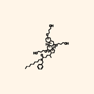 CCCCCCCCN(Cc1ccccc1)C(=O)CCC(C)C1CC[C@H]2C3[C@H](OCCCO)CC4C[C@H](OCCCO)CCC4(C)[C@H]3C[C@H](OCCCO)C12C